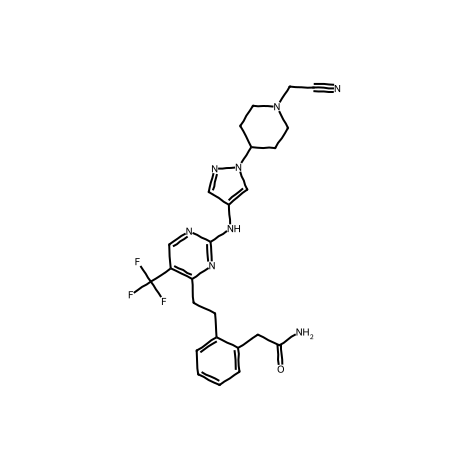 N#CCN1CCC(n2cc(Nc3ncc(C(F)(F)F)c(CCc4ccccc4CC(N)=O)n3)cn2)CC1